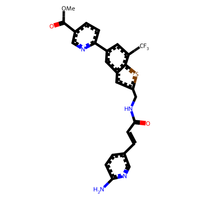 COC(=O)c1ccc(-c2cc(C(F)(F)F)c3sc(CNC(=O)C=Cc4ccc(N)nc4)cc3c2)nc1